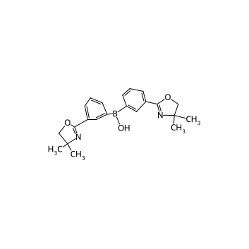 CC1(C)COC(c2cccc(B(O)c3cccc(C4=NC(C)(C)CO4)c3)c2)=N1